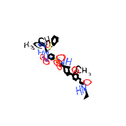 COc1cc(CCC(=O)NCC2CC2)ccc1-c1ccc(C(=O)NS(=O)(=O)c2ccc(N[C@@H](CSc3ccccc3)CC(=O)N(C)C)c([N+](=O)[O-])c2)cc1